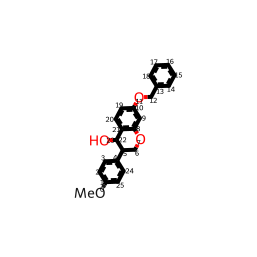 COc1ccc(C2COc3cc(OCc4ccccc4)ccc3C2O)cc1